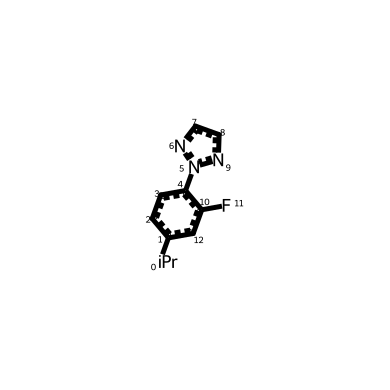 CC(C)c1ccc(-n2nccn2)c(F)c1